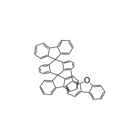 c1ccc2c(c1)-c1ccccc1C21c2ccccc2C2(c3ccccc3-c3ccccc32)c2c(-c3cccc4c3oc3ccccc34)cccc21